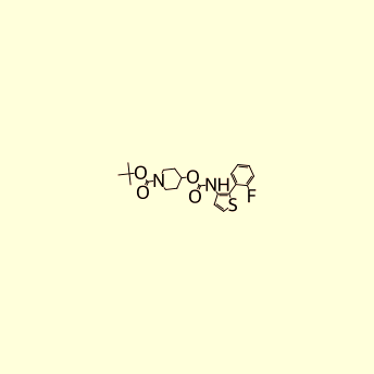 CC(C)(C)OC(=O)N1CCC(OC(=O)Nc2ccsc2-c2ccccc2F)CC1